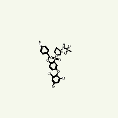 COc1ccc(COc2ccc(Oc3c(Cl)cc(Br)cc3Cl)cc2S(=O)(=O)N2CC[C@@H](NS(C)(=O)=O)C2)cc1